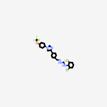 FC(F)(F)Oc1ccc(-n2cnc(-c3ccc(/C=N/NC(=S)Nc4c(Cl)cccc4Cl)cc3)c2)cc1